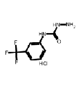 Cl.NNC(=O)Nc1cccc(C(F)(F)F)c1